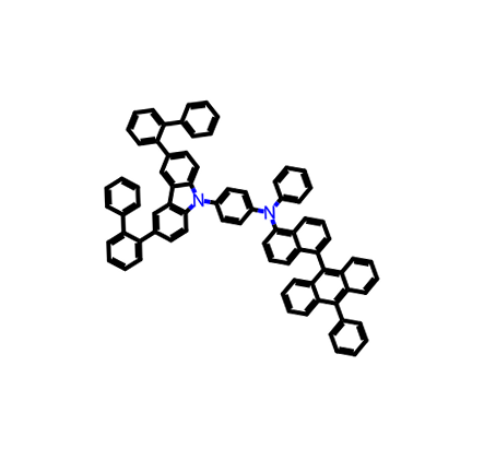 c1ccc(-c2ccccc2-c2ccc3c(c2)c2cc(-c4ccccc4-c4ccccc4)ccc2n3-c2ccc(N(c3ccccc3)c3cccc4c(-c5c6ccccc6c(-c6ccccc6)c6ccccc56)cccc34)cc2)cc1